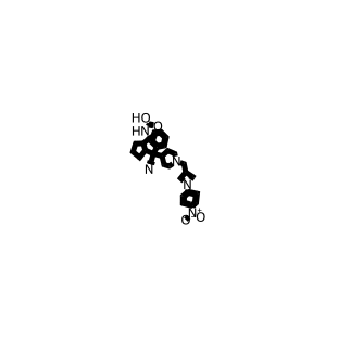 N#CC(c1ccccc1)(C1CCN(CC2CN(c3ccc([N+](=O)[O-])cc3)C2)CC1)C1CCCC1CNC(=O)O